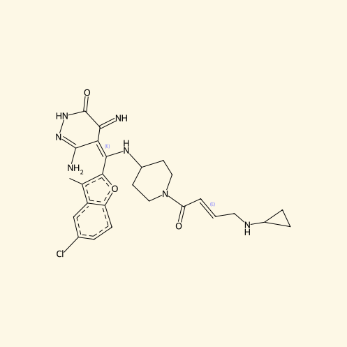 Cc1c(/C(NC2CCN(C(=O)/C=C/CNC3CC3)CC2)=C2/C(=N)C(=O)NN=C2N)oc2ccc(Cl)cc12